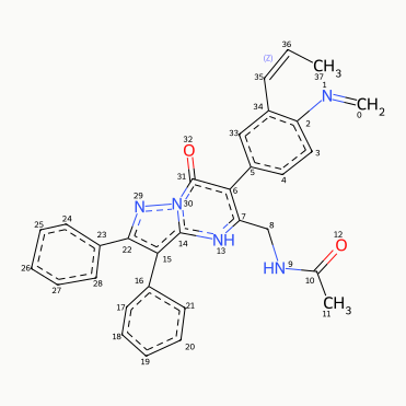 C=Nc1ccc(-c2c(CNC(C)=O)[nH]c3c(-c4ccccc4)c(-c4ccccc4)nn3c2=O)cc1/C=C\C